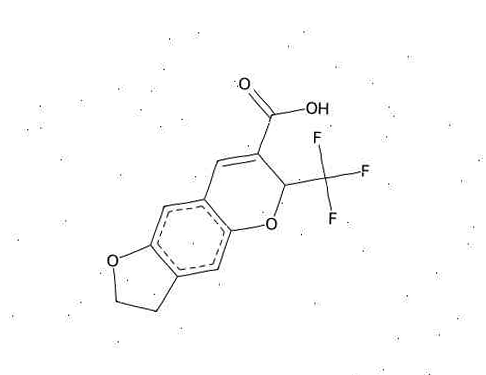 O=C(O)C1=Cc2cc3c(cc2OC1C(F)(F)F)CCO3